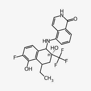 CCC1C[C@](O)(C(F)(F)F)C(Nc2cccc3c(=O)[nH]ccc23)c2ccc(F)c(O)c21